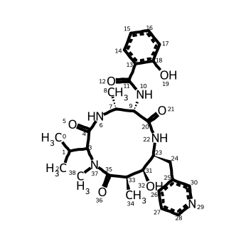 CC(C)C1C(=O)N[C@H](C)[C@H](NC(=O)c2ccccc2O)C(=O)N[C@@H](Cc2cccnc2)[C@@H](O)[C@@H](C)C(=O)N1C